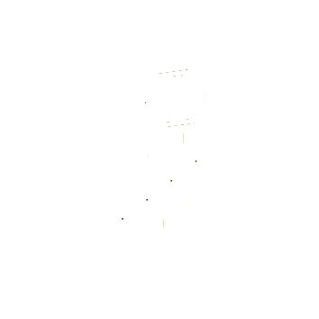 FC(F)(F)C(F)(F)C(F)(Oc1c[c]ccc1)C(F)(F)F